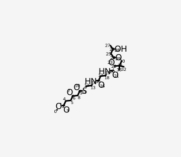 COC(=O)CCC(=O)CC(=O)SCCNC(=O)CCNC(=O)[C@@H]1OC(CC(C)O)OCC1(C)C